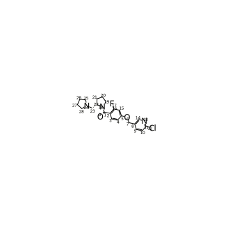 O=C(c1ccc(OCc2ccc(Cl)nc2)cc1F)N1CCC[C@H]1CN1CCCC1